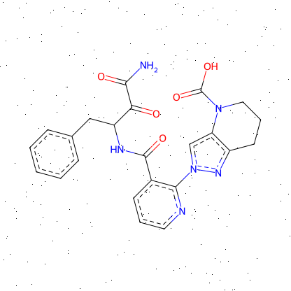 NC(=O)C(=O)C(Cc1ccccc1)NC(=O)c1cccnc1-n1cc2c(n1)CCCN2C(=O)O